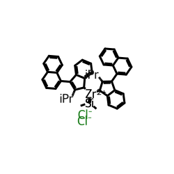 CC(C)C1=C(c2cccc3ccccc23)c2ccccc2[CH]1[Zr+2]([CH]1C(C(C)C)=C(c2cccc3ccccc23)c2ccccc21)=[Si](C)C.[Cl-].[Cl-]